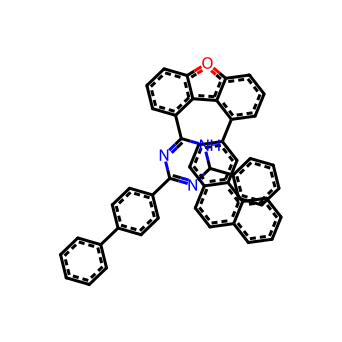 c1ccc(-c2ccc(C3=NC(c4ccccc4)NC(c4cccc5oc6cccc(-c7ccc8ccc9ccccc9c8c7)c6c45)=N3)cc2)cc1